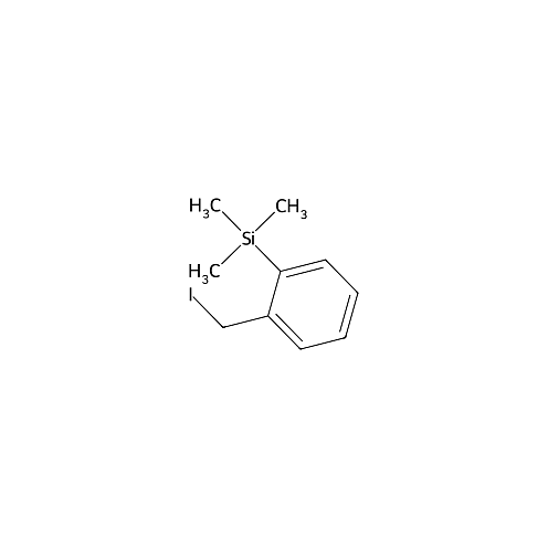 C[Si](C)(C)c1ccccc1CI